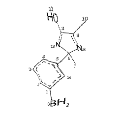 Bc1cccc(C2(C)N=C(C)C(O)=N2)c1